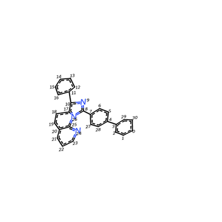 c1ccc(-c2ccc(-c3nc(-c4ccccc4)c4ccc5cccnc5n34)cc2)cc1